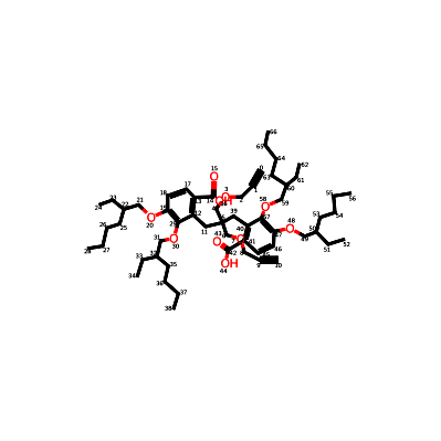 C#CCOCC(COCC#C)(Cc1c(C(=O)O)ccc(OCC(CC)CCCC)c1OCC(CC)CCCC)Cc1c(C(=O)O)ccc(OCC(CC)CCCC)c1OCC(CC)CCCC